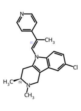 C/C(=C\n1c2c(c3cc(Cl)ccc31)CN(C)[C@@H](C)C2)c1ccncc1